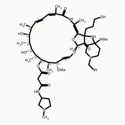 CNC1(NC2(CCCO)C(=O)[C@@]3(C)O/C=C/[C@H](OC)[C@@H](C)[C@@H](OC(=O)CC(=O)NC4CCN(C)C4)[C@H](C)[C@H](O)[C@H](C)[C@@H](O)[C@@H](C)/C=C/C=C(/C)C(=O)NC(C)=C2O3)CCN(CC(C)C)CC1